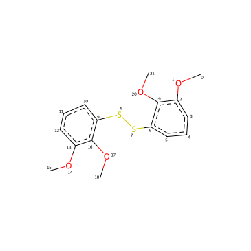 COc1cccc(SSc2cccc(OC)c2OC)c1OC